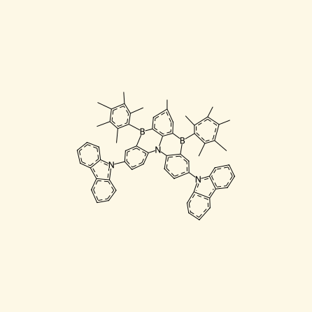 Cc1cc2c3c(c1)B(c1c(C)c(C)c(C)c(C)c1C)c1cc(-n4c5ccccc5c5ccccc54)ccc1N3c1ccc(-n3c4ccccc4c4ccccc43)cc1B2c1c(C)c(C)c(C)c(C)c1C